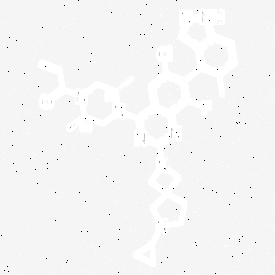 C=CC(=O)N1C[C@H](C)N(c2nc(N3CC4(CCN(C5CC5)C4)C3)nc3c(F)c(-c4c(C)ccc5[nH]ncc45)c(Cl)cc23)C[C@H]1C